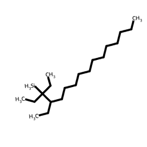 CCCCCCCCCCCCC(CC)C([SiH3])(CC)CC